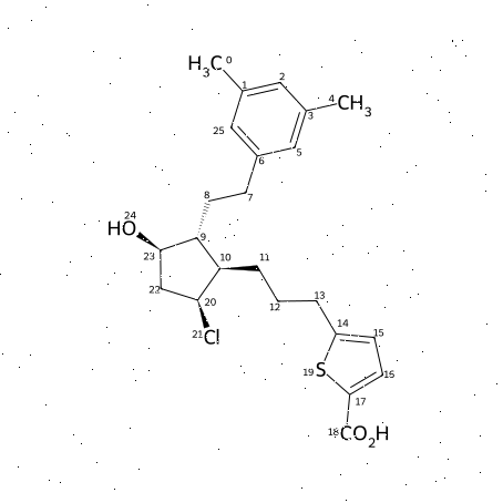 Cc1cc(C)cc(CC[C@@H]2[C@@H](CCCc3ccc(C(=O)O)s3)[C@@H](Cl)C[C@H]2O)c1